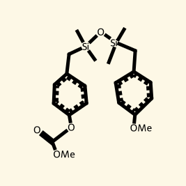 COC(=O)Oc1ccc(C[Si](C)(C)O[Si](C)(C)Cc2ccc(OC)cc2)cc1